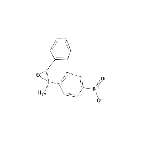 CC1(c2ccc([N+](=O)[O-])cc2)OC1c1ccccc1